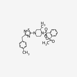 Cc1ccc(Cc2nsc(N3CCN(S(=O)(=O)c4ccccc4S(C)(=O)=O)C(C)C3)n2)cc1